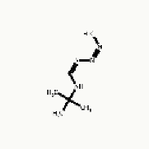 C/N=N\N=C/NC(C)(C)C